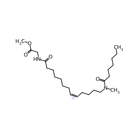 CCCCCCC(=O)N(C)CCCC/C=C\CCCCCCC(=O)NCC(=O)OC